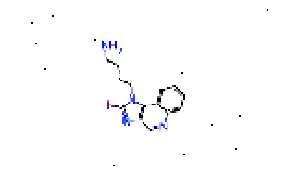 NCCCCn1c(I)nc2cnc3ccccc3c21